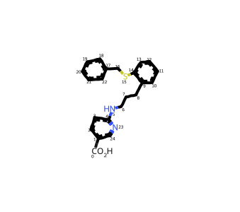 O=C(O)c1ccc(NCCCc2ccccc2SCc2ccccc2)nc1